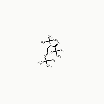 CC(C)(C)OCCN(C(=O)C(C)(C)C)C(C)(C)C